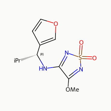 COC1=NS(=O)(=O)N=C1N[C@@H](c1ccoc1)C(C)C